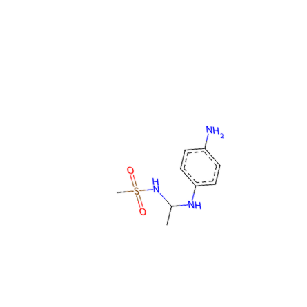 CC(Nc1ccc(N)cc1)NS(C)(=O)=O